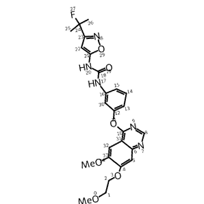 COCCOc1cc2ncnc(Oc3cccc(NC(=O)Nc4cc(C(C)(C)F)no4)c3)c2cc1OC